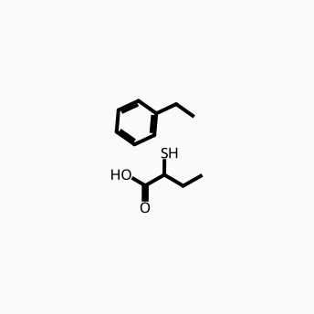 CCC(S)C(=O)O.CCc1ccccc1